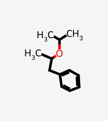 CC(C)OC(C)Cc1ccccc1